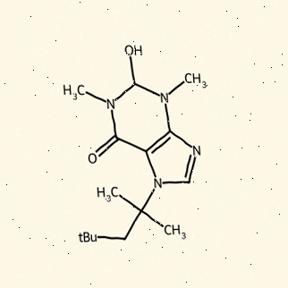 CN1C(=O)c2c(ncn2C(C)(C)CC(C)(C)C)N(C)C1O